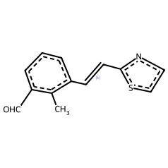 Cc1c(C=O)cccc1/C=C/c1nccs1